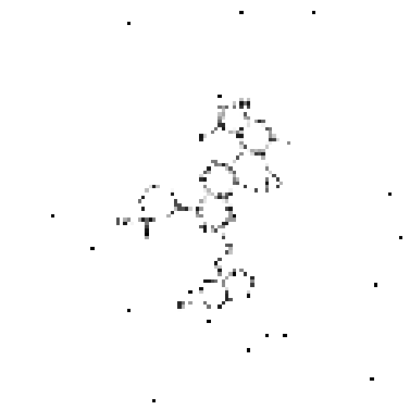 Cc1cc2[nH]nc(F)c2c(-c2ncc3c(N4CCC[C@@](C)(O)C4)nc(OC[C@@]45CCCN4C[C@H](F)C5)nc3c2F)c1C1CC1